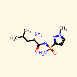 CC(C)C[C@H](N)C(=O)N=S(N)(=O)c1ccn(C)n1